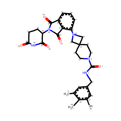 Cc1cc(CNC(=O)N2CCC3(CC2)CN(c2cccc4c2C(=O)N(C2CCC(=O)NC2=O)C4=O)C3)cc(C(C)C)c1C